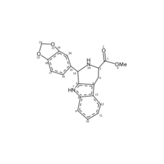 COC(=O)C1Cc2c([nH]c3ccccc23)C(c2ccc3c(c2)OCO3)N1